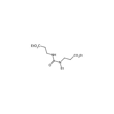 CCOC(=O)CCNC(=O)N(CC)CCC(=O)OCC